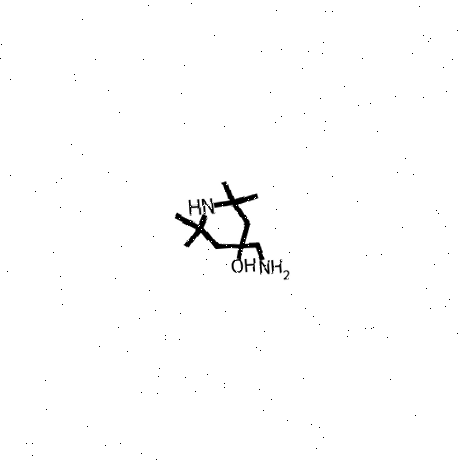 CC1(C)CC(O)(CN)CC(C)(C)N1